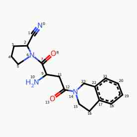 N#CC1CCCN1C(=O)C(N)CC(=O)N1CCc2ccccc2C1